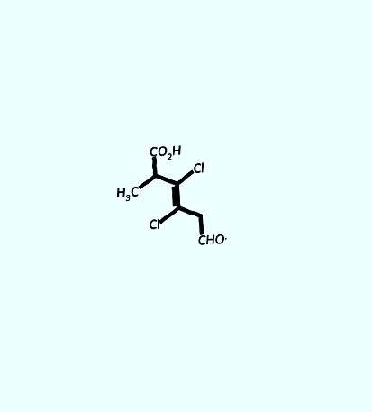 CC(C(=O)O)C(Cl)=C(Cl)C[C]=O